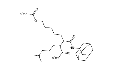 CCCCCCCCCCC(=O)OCCCCCC(C(=O)NC12CC3CC(CC(C3)C1)C2)N(CCCN(C)C)C(=O)CCCCCCCCCC